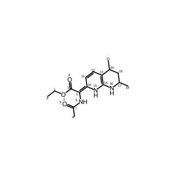 CCOC(=O)C(NC(C)=O)=C1C=CC2=C(N1)NC(C)CC2C